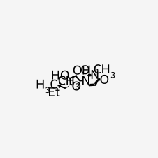 CCC(C)(C)C[C@H]1OC(n2ccc(=O)n(C)c2=O)[C@H](O)[C@@H]1O